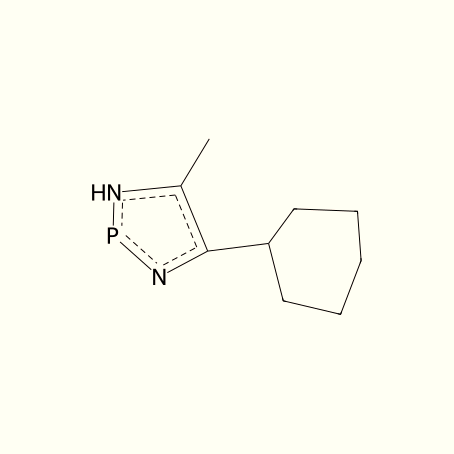 Cc1[nH]pnc1C1CCCCC1